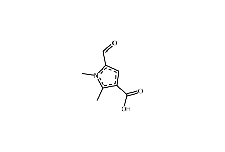 Cc1c(C(=O)O)cc(C=O)n1C